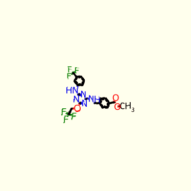 COC(=O)c1ccc(CNc2nc(Nc3cccc(C(F)(F)F)c3)nc(OCC(F)(F)F)n2)cc1